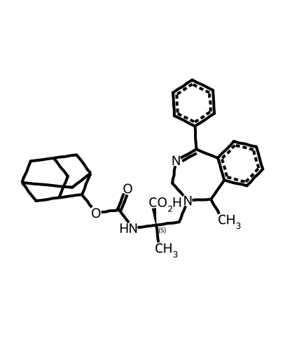 CC1c2ccccc2C(c2ccccc2)=NCN1C[C@](C)(NC(=O)OC1C2CC3CC(C2)CC1C3)C(=O)O